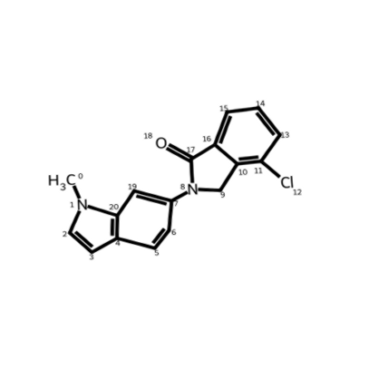 Cn1ccc2ccc(N3Cc4c(Cl)cccc4C3=O)cc21